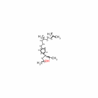 C=C(O)CC(C#CC)c1ccc(CCCC(C)CCC=C(C)C)cc1